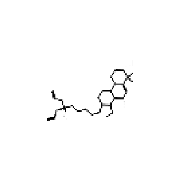 C=CCC(O)(CC=C)CCC[C@@H](C)[C@H]1CCC2C3C(CC[C@@]21C)[C@@]1(C)CC[C@H](O)C(C)(C)C1=C[C@@H]3O